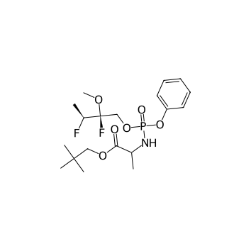 CO[C@](F)(COP(=O)(NC(C)C(=O)OCC(C)(C)C)Oc1ccccc1)[C@H](C)F